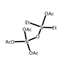 CC[Si](CC)(OC(C)=O)O[Si](OC(C)=O)(OC(C)=O)OC(C)=O